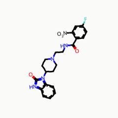 O=C(NCCN1CCC(n2c(=O)[nH]c3ccccc32)CC1)c1ccc(F)cc1[N+](=O)[O-]